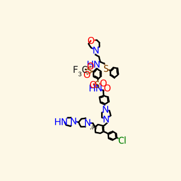 C[C@@]1(CN2CCC(N3CCNCC3)CC2)CCC(c2ccc(Cl)cc2)=C(CN2CCN(c3ccc(C(=O)NS(=O)(=O)c4ccc(NC(CCN5CCCOCC5)CSc5ccccc5)c(S(=O)(=O)C(F)(F)F)c4)cc3)CC2)C1